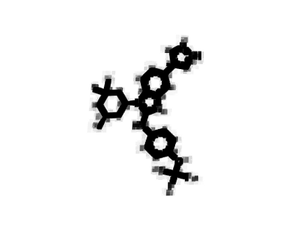 C[C@@H]1C[C@H](n2c(Nc3ccc(OC(F)(F)F)cc3)nc3cc(-c4cn[nH]c4)ccc32)CC(C)(C)C1